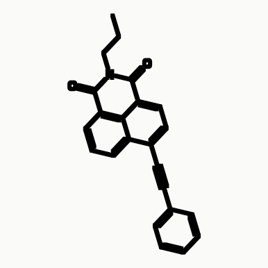 CCCN1C(=O)c2cccc3c(C#Cc4ccccc4)ccc(c23)C1=O